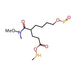 CON(C)C(=O)C(CCCCOP=O)CCC(=O)OPC